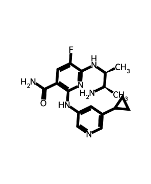 C[C@H](Nc1nc(Nc2cncc(C3CC3)c2)c(C(N)=O)cc1F)[C@@H](C)N